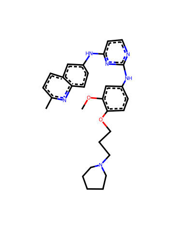 COc1cc(Nc2nccc(Nc3ccc4nc(C)ccc4c3)n2)ccc1OCCCN1CCCCC1